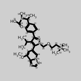 COc1cc(-c2c(C(C)C)c(-c3ccc(C(C)N(C)C(=O)O)cc3)nn2COCC[Si](C)(C)C)cn2ncnc12